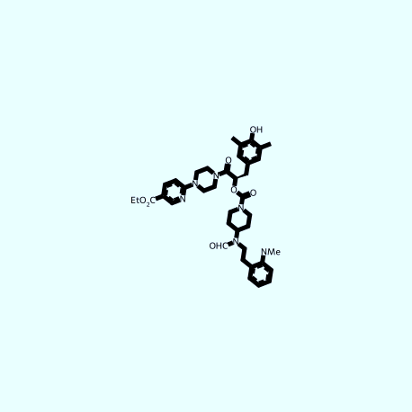 CCOC(=O)c1ccc(N2CCN(C(=O)[C@@H](Cc3cc(C)c(O)c(C)c3)OC(=O)N3CCC(N(C=O)CCc4ccccc4NC)CC3)CC2)nc1